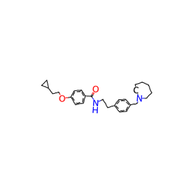 O=C(NCCc1ccc(CN2CCCCCC2)cc1)c1ccc(OCCC2CC2)cc1